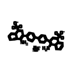 Nc1c(-c2ccc(-c3ccc(-c4cc(S(=O)(=O)[O-])c5ccccc5c4N)cc3)cc2)cc(S(=O)(=O)[O-])c2ccccc12.[Na+].[Na+]